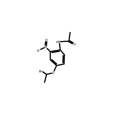 CC(=O)Nc1ccc(OC(C)Br)cc1[N+](=O)[O-]